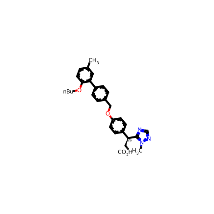 CCCCOc1ccc(C)cc1-c1ccc(COc2ccc([C@H](CC(=O)O)c3ncnn3C)cc2)cc1